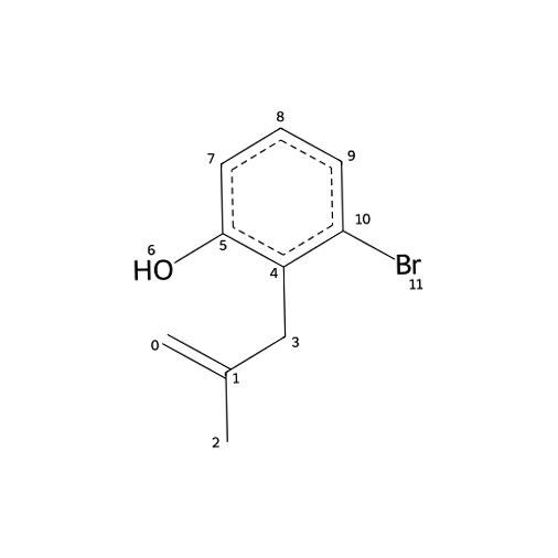 C=C(C)Cc1c(O)cccc1Br